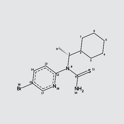 C[C@H](C1CCCCC1)N(C(N)=S)c1ccc(Br)cn1